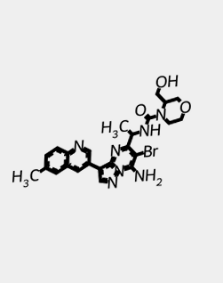 Cc1ccc2ncc(-c3cnn4c(N)c(Br)c(C(C)NC(=O)N5CCOCC5CO)nc34)cc2c1